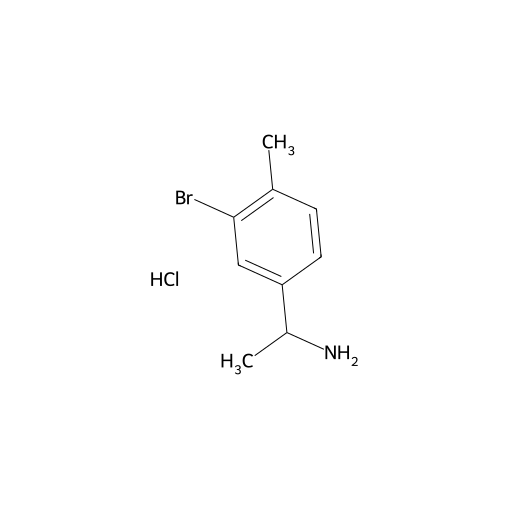 Cc1ccc(C(C)N)cc1Br.Cl